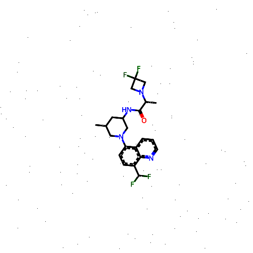 CC1CC(NC(=O)C(C)N2CC(F)(F)C2)CN(c2ccc(C(F)F)c3ncccc23)C1